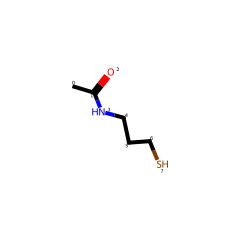 CC(=O)NCCCS